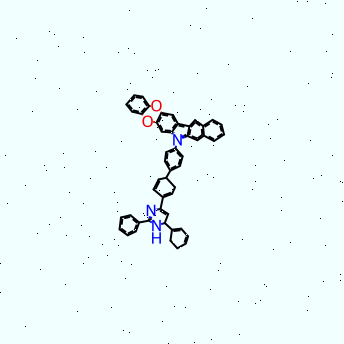 C1=CCCC(C2C=C(C3=CCC(c4ccc(-n5c6cc7c(cc6c6cc8ccccc8cc65)Oc5ccccc5O7)cc4)C=C3)N=C(c3ccccc3)N2)=C1